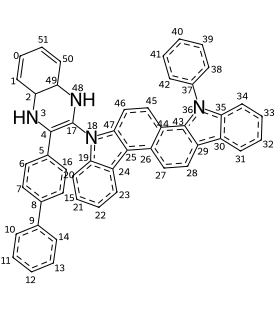 C1=CC2NC(c3ccc(-c4ccccc4)cc3)=C(n3c4ccccc4c4c5ccc6c7ccccc7n(-c7ccccc7)c6c5ccc43)NC2C=C1